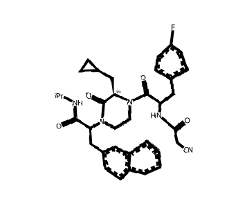 CC(C)NC(=O)C(Cc1ccc2ccccc2c1)N1CCN(C(=O)C(Cc2ccc(F)cc2)NC(=O)CC#N)[C@H](CC2CC2)C1=O